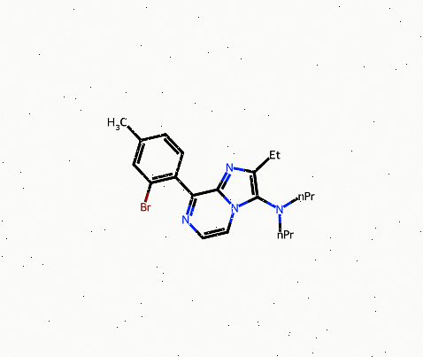 CCCN(CCC)c1c(CC)nc2c(-c3ccc(C)cc3Br)nccn12